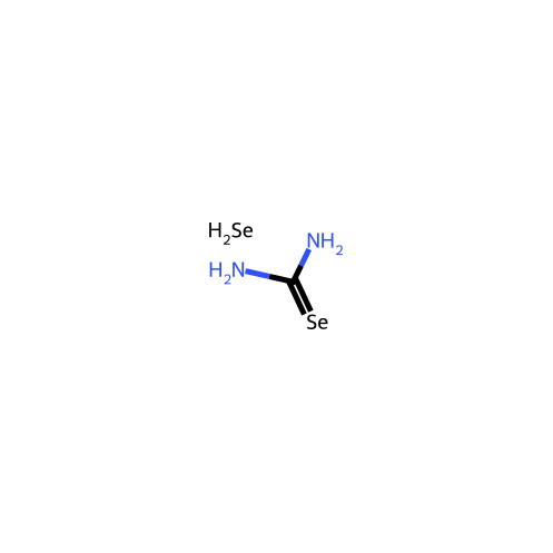 NC(N)=[Se].[SeH2]